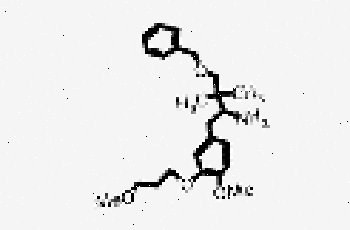 COCCCOc1cc(CC(N)C(C)(C)COCc2ccccc2)ccc1OC